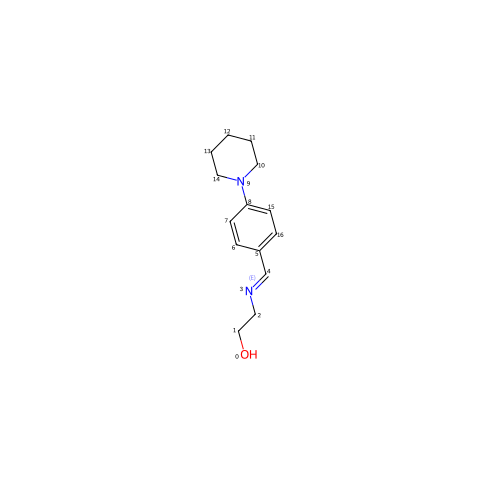 OCC/N=C/c1ccc(N2CCCCC2)cc1